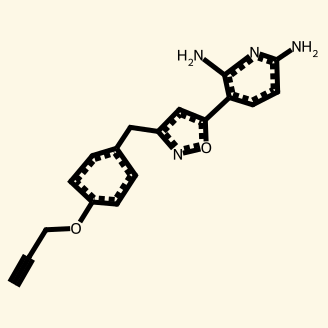 C#CCOc1ccc(Cc2cc(-c3ccc(N)nc3N)on2)cc1